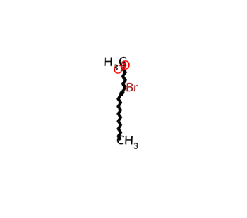 CCCCCCCCCCCCC#CC(Br)CCCCC(=O)OC